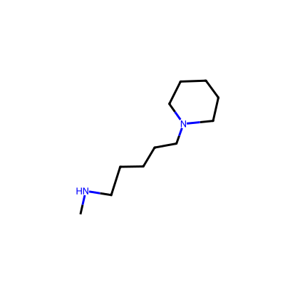 CNCCCCCN1CCCCC1